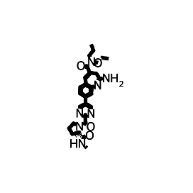 CCCN(OCC)C(=O)C1=Cc2ccc(-c3cnc(C(=O)N4CCC[C@H]4C(=O)NC)nc3)cc2N=C(N)C1